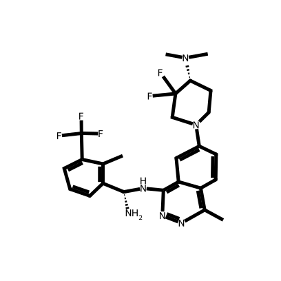 Cc1c([C@@H](N)Nc2nnc(C)c3ccc(N4CC[C@@H](N(C)C)C(F)(F)C4)cc23)cccc1C(F)(F)F